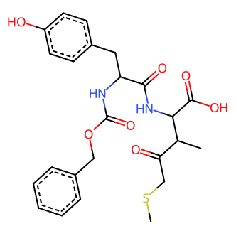 CSCC(=O)C(C)C(NC(=O)C(Cc1ccc(O)cc1)NC(=O)OCc1ccccc1)C(=O)O